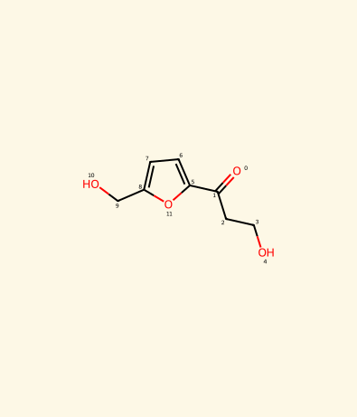 O=C(CCO)c1ccc(CO)o1